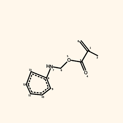 C=C(C)C(=O)OCNc1ccccc1